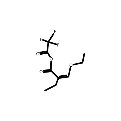 CCOC=C(CC)C(=O)OC(=O)C(F)(F)F